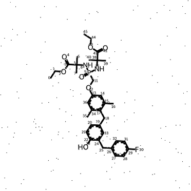 CCOC(=O)C(C)(C)NP(=O)(COc1cc(C)c(Cc2ccc(O)c(Cc3ccc(F)cc3)c2)c(C)c1)NC(C)(C)C(=O)OCC